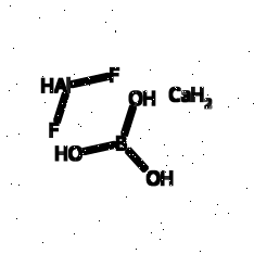 OB(O)O.[CaH2].[F][AlH][F]